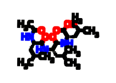 CC(=O)N[C@@H](CC(C)C)C(=O)N[C@@H](CC(C)C)C(=O)N[C@@H](CC(C)C)C(=O)O